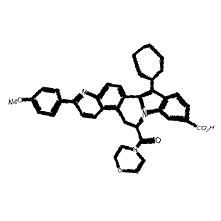 COc1ccc(-c2ccc3c4c(ccc3n2)-c2c(C3CCCCC3)c3ccc(C(=O)O)cc3n2C(C(=O)N2CCOCC2)C4)cc1